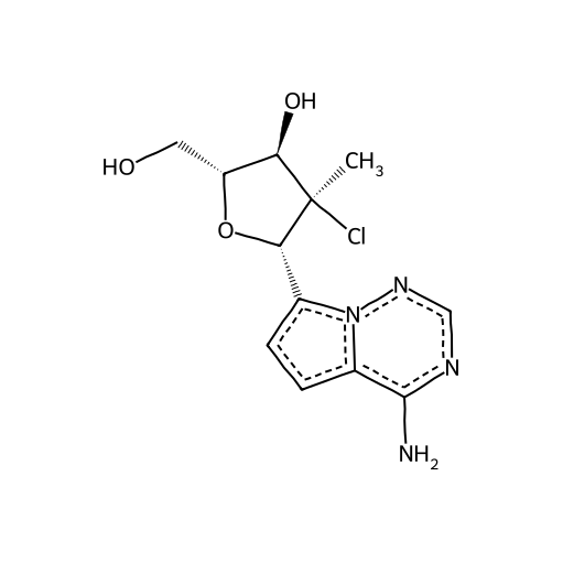 C[C@@]1(Cl)[C@H](O)[C@@H](CO)O[C@H]1c1ccc2c(N)ncnn12